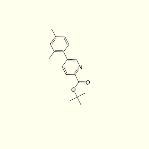 Cc1ccc(-c2ccc(C(=O)OC(C)(C)C)nc2)c(C)c1